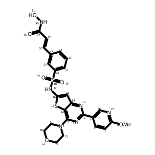 COc1ccc(-c2nc(N3CCOCC3)c3sc(NS(=O)(=O)c4cccc(C=CC(=O)NO)c4)cc3n2)cn1